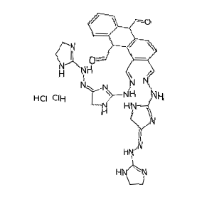 Cl.Cl.O=CC1c2ccccc2C(C=O)c2c1ccc(C=NNC1=NC(=NNC3=NCCN3)CN1)c2C=NNC1=NC(=NNC2=NCCN2)CN1